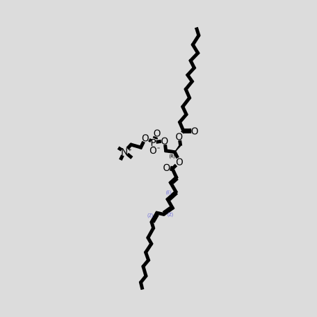 CCCCCCCCC\C=C/C=C\C=C\C=CC(=O)O[C@H](COC(=O)CCCCCCCCCCCCC)COP(=O)([O-])OCC[N+](C)(C)C